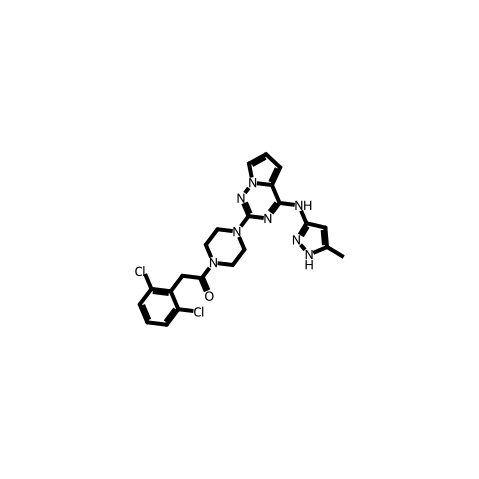 Cc1cc(Nc2nc(N3CCN(C(=O)Cc4c(Cl)cccc4Cl)CC3)nn3cccc23)n[nH]1